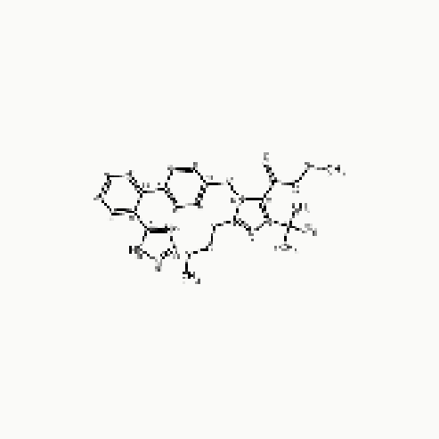 CCOCc1nc(C(C)(C)O)c(C(=O)OCC)n1Cc1ccc(-c2ccccc2-c2nnn[nH]2)cc1